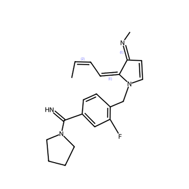 C\C=C/C=C1\C(=N\C)C=CN1Cc1ccc(C(=N)N2CCCC2)cc1F